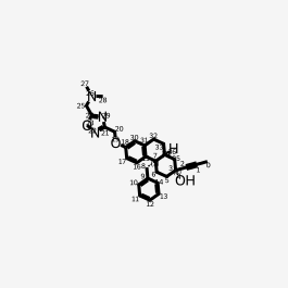 CC#C[C@@]1(O)CC[C@@]2(Cc3ccccc3)c3ccc(OCc4noc(CN(C)C)n4)cc3CC[C@@H]2C1